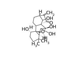 C=C1C(=O)[C@@]23C(O)[C@@H]1CC[C@@H]2[C@]12CO[C@]3(O)[C@@H](O)[C@H]1C(C)(C)CC[C@@H]2O